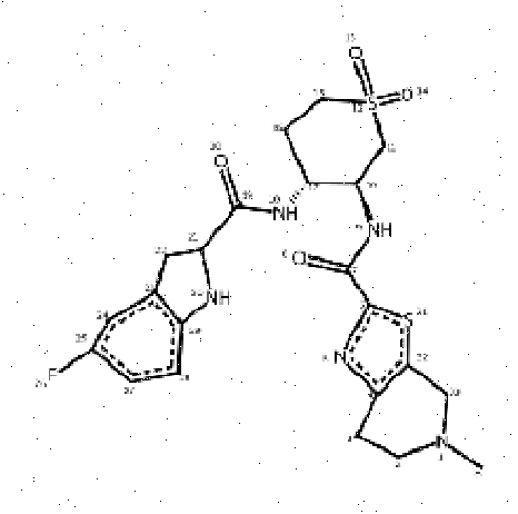 CN1CCc2nc(C(=O)N[C@@H]3CS(=O)(=O)CC[C@H]3NC(=O)C3Cc4cc(F)ccc4N3)sc2C1